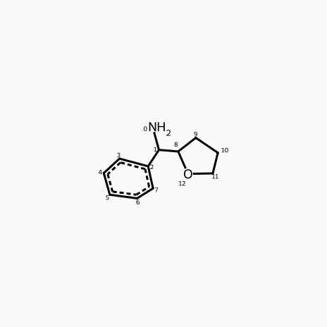 NC(c1ccccc1)C1CCCO1